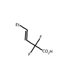 CCC=CC(F)(F)C(=O)O